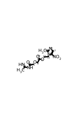 CC(=N)NC(=O)COCC(=O)OCCn1c([N+](=O)[O-])cnc1C